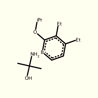 CC(C)(N)O.CCc1ccbc(OC(C)C)c1CC